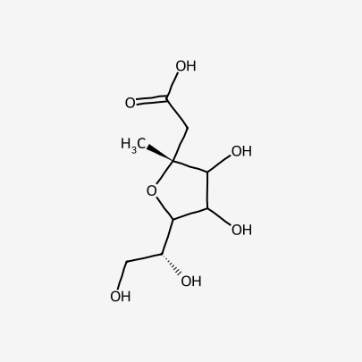 C[C@]1(CC(=O)O)OC([C@H](O)CO)C(O)C1O